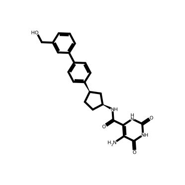 Nc1c(C(=O)N[C@H]2CC[C@@H](c3ccc(-c4cccc(CO)c4)cc3)C2)[nH]c(=O)[nH]c1=O